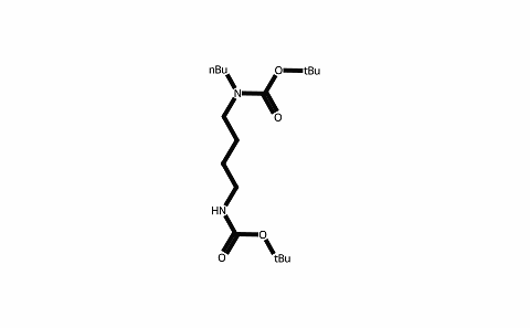 CCCCN(CCCCNC(=O)OC(C)(C)C)C(=O)OC(C)(C)C